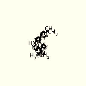 CC(C)N1CCN(c2ccc(Nc3ncc4c(n3)N(C3CCCC3)C(=O)C(C)(C)S4)nc2)CC1